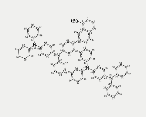 CC(C)(C)c1cccc2nc(-c3ccc(N(c4ccccc4)c4ccc(N(c5ccccc5)c5ccccc5)cc4)cc3)c(-c3ccc(N(c4ccccc4)c4ccc(N(C5=CCCC=C5)c5ccccc5)cc4)cc3)nc12